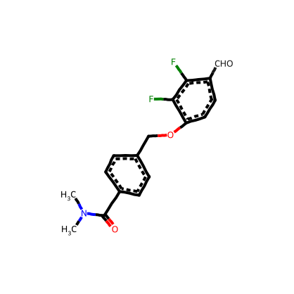 CN(C)C(=O)c1ccc(COc2ccc(C=O)c(F)c2F)cc1